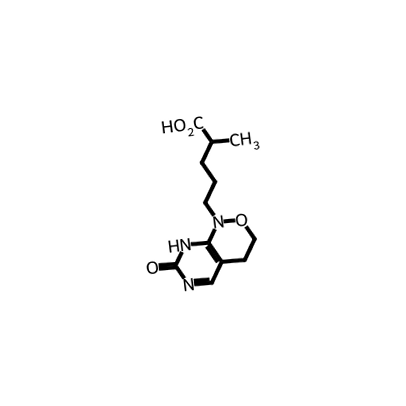 CC(CCCN1OCCc2cnc(=O)[nH]c21)C(=O)O